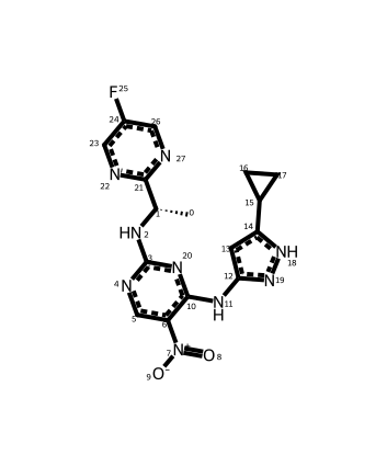 C[C@H](Nc1ncc([N+](=O)[O-])c(Nc2cc(C3CC3)[nH]n2)n1)c1ncc(F)cn1